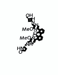 COc1nc(-c2cccc(-c3cccc(-c4cnc(CN[C@H]5C[C@H](CO)C5)c(OC)n4)c3Cl)c2Cl)cnc1CNC[C@@H]1CCC(=O)N1